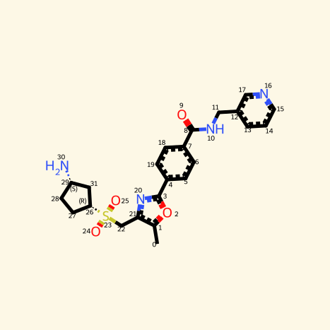 Cc1oc(-c2ccc(C(=O)NCc3cccnc3)cc2)nc1CS(=O)(=O)[C@@H]1CC[C@H](N)C1